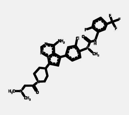 CN(C)CC(=O)N1CCC(c2cc(-c3ccc(N(C)C(=O)Nc4cc(C(F)(F)F)ccc4F)c(Cl)c3)c3c(N)ncnn23)CC1